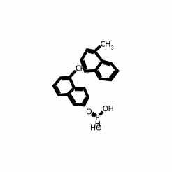 Cc1cccc2ccccc12.Cc1cccc2ccccc12.O=[PH](O)O